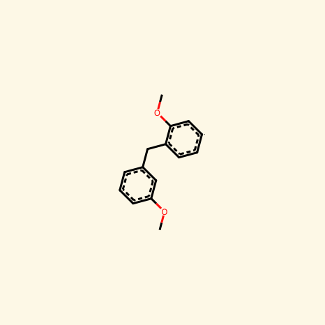 COc1cccc(Cc2cc[c]cc2OC)c1